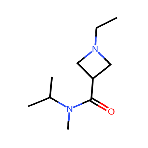 CCN1CC(C(=O)N(C)C(C)C)C1